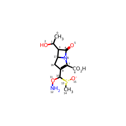 CC(O)C1C(=O)N2C(C(=O)O)=C(C(ON)[S+](C)[O-])CC12